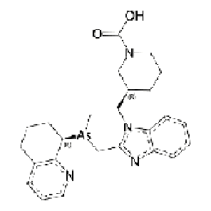 C[As](Cc1nc2ccccc2n1C[C@@H]1CCCN(C(=O)O)C1)[C@@H]1CCCc2cccnc21